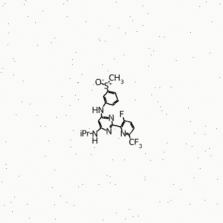 CC(C)Nc1cc(Nc2cccc([S+](C)[O-])c2)nc(-c2nc(C(F)(F)F)ccc2F)n1